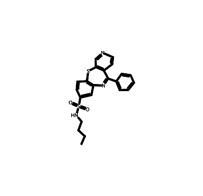 CCCCNS(=O)(=O)c1ccc2c(c1)N=C(c1ccccc1)c1ccncc1S2